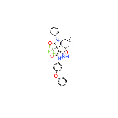 Cc1[nH]n(-c2ccc(Oc3ccccc3)cc2)c(=O)c1C1(C(F)(F)F)C(=O)N(c2ccccc2)C2=C1C(=O)CC(C)(C)C2